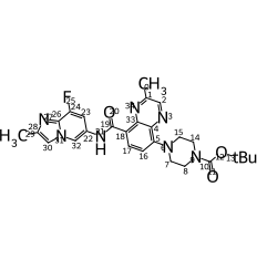 Cc1cnc2c(N3CCN(C(=O)OC(C)(C)C)CC3)ccc(C(=O)Nc3cc(F)c4nc(C)cn4c3)c2n1